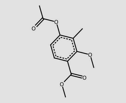 COC(=O)c1ccc(OC(C)=O)c(C)c1OC